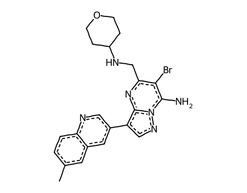 Cc1ccc2ncc(-c3cnn4c(N)c(Br)c(CNC5CCOCC5)nc34)cc2c1